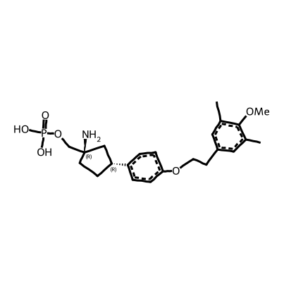 COc1c(C)cc(CCOc2ccc([C@@H]3CC[C@](N)(COP(=O)(O)O)C3)cc2)cc1C